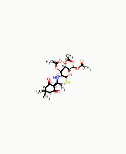 CC(=O)OC[C@H]1O[C@@H](S)[C@@H](NC(C)=C2C(=O)CC(C)(C)CC2=O)[C@@H](OC(C)=O)[C@@H]1OC(C)=O